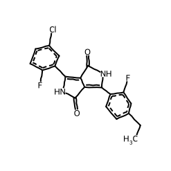 CCc1ccc(C2=C3C(=O)NC(c4cc(Cl)ccc4F)=C3C(=O)N2)c(F)c1